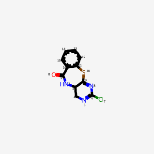 O=C1NC2CN=C(Cl)N=C2Sc2ccccc21